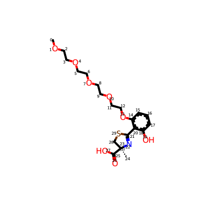 COCCOCCOCCOCCOc1cccc(O)c1C1=N[C@@](C)(C(=O)O)CS1